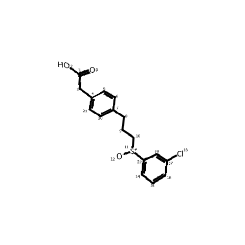 O=C(O)Cc1ccc(CCC[S+]([O-])c2cccc(Cl)c2)cc1